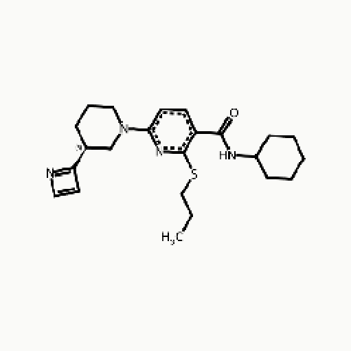 CCCSc1nc(N2CCC[C@H](C3=NC=C3)C2)ccc1C(=O)NC1CCCCC1